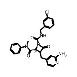 CN(C(=O)[C@@H]1C(Cc2ccnc(N)c2)C(=O)N1C(=O)NCc1cccc(Cl)c1)c1ccccc1